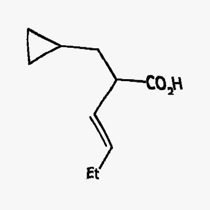 CCC=CC(CC1CC1)C(=O)O